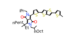 CCCCCCCCC(C)CN1C(=O)C2=C(c3ccc(-c4cc5sc(-c6ccc(C)s6)cc5s4)s3)N(CC(C)C)C(=O)C2=C1C(C)(CC)CCCCC